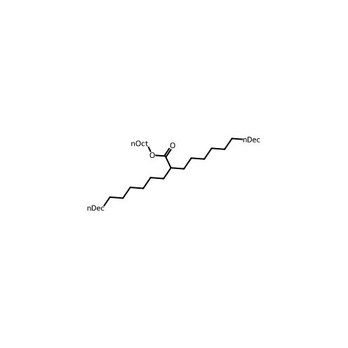 CCCCCCCCCCCCCCCCC(CCCCCCCCCCCCCCCC)C(=O)OCCCCCCCC